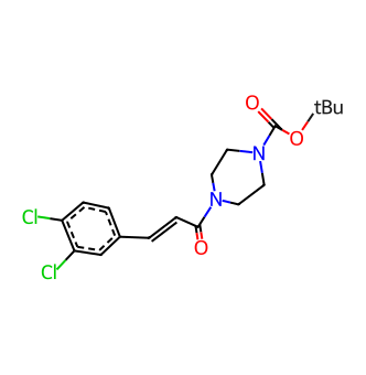 CC(C)(C)OC(=O)N1CCN(C(=O)/C=C/c2ccc(Cl)c(Cl)c2)CC1